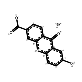 O=C([O-])c1ccc2c(=O)c3cc(O)ccc3oc2c1.[Na+]